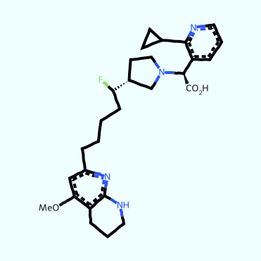 COc1cc(CCCCC(F)[C@@H]2CCN([C@H](C(=O)O)c3cccnc3C3CC3)C2)nc2c1CCCN2